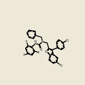 O=C(Nc1c(F)cc(F)cc1F)N(Cc1ccccc1)Cc1oc2ccc(Cl)cc2c1-c1ccc(Cl)cc1